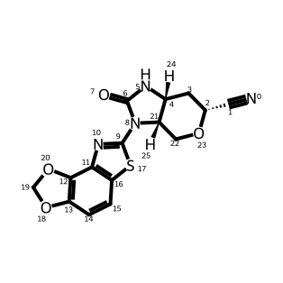 N#C[C@H]1C[C@H]2NC(=O)N(c3nc4c5c(ccc4s3)OCO5)[C@H]2CO1